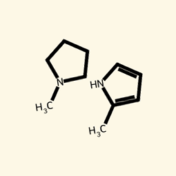 CN1CCCC1.Cc1ccc[nH]1